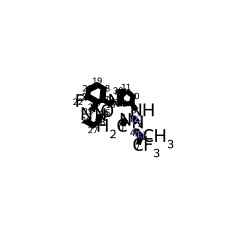 C=N/C(=N\C=C(/C)C(F)(F)F)NC1CC2CC1N(C(=O)c1cccc(F)c1-c1ncccn1)C2